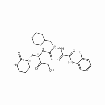 O=C(Nc1ccccc1F)C(=O)N[C@@H](CC1CCCCC1)C(=O)N[C@H](C[C@@H]1CCCNC1=O)C(=O)CO